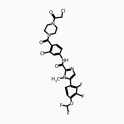 Cn1c(-c2ccc(OC(F)F)c(F)c2F)cnc1C(=O)Nc1ccc(C(=O)N2CCN(C(=O)CCl)CC2)c(Cl)c1